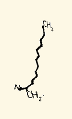 [CH2]C(C#N)CCCCCCCCCCCCC